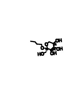 CCCCO[C@@]1(CO)OC[C@@H](O)[C@@H](O)[C@@H]1O